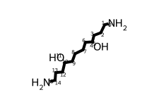 NCCCC(O)CCCCC(O)CCCN